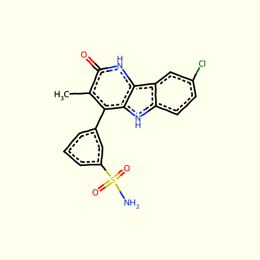 Cc1c(-c2cccc(S(N)(=O)=O)c2)c2[nH]c3ccc(Cl)cc3c2[nH]c1=O